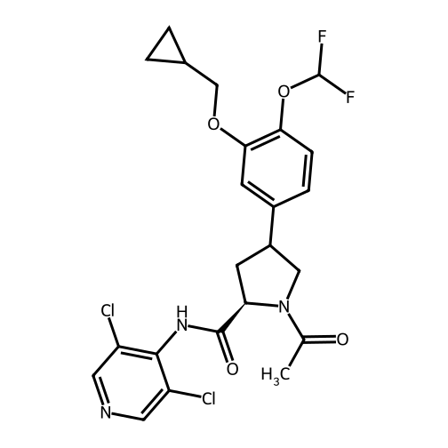 CC(=O)N1CC(c2ccc(OC(F)F)c(OCC3CC3)c2)C[C@@H]1C(=O)Nc1c(Cl)cncc1Cl